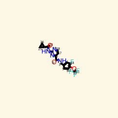 O=C(NCc1ccc(OC(F)(F)F)c(F)c1)c1ccnc(NC(=O)C2CC2)n1